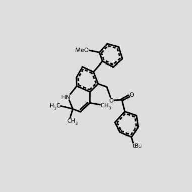 COc1ccccc1-c1ccc2c(c1COC(=O)c1ccc(C(C)(C)C)cc1)C(C)=CC(C)(C)N2